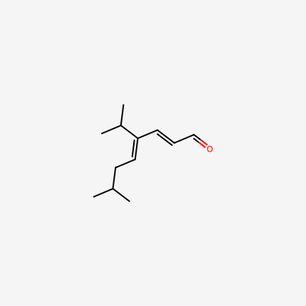 CC(C)CC=C(/C=C/C=O)C(C)C